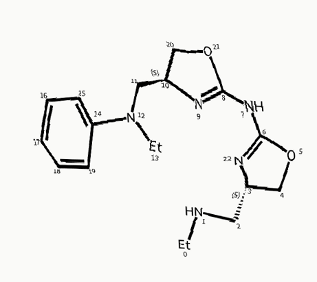 CCNC[C@H]1COC(NC2=N[C@@H](CN(CC)c3ccccc3)CO2)=N1